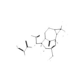 C/C=C(/C)C(=O)O[C@H]1C(C)=C[C@]23C(=O)[C@@H](C=C(CBr)[C@@H](O)[C@]12O)[C@H]1[C@@H](C[C@H]3C)C1(C)C